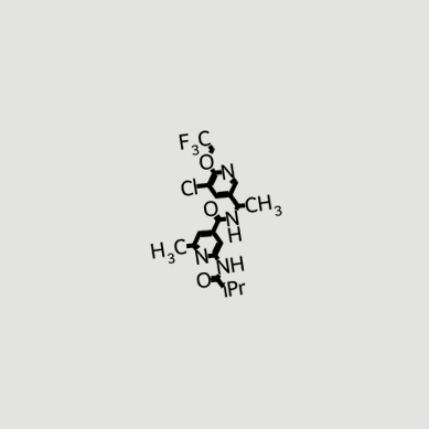 Cc1cc(C(=O)NC(C)c2cnc(OCC(F)(F)F)c(Cl)c2)cc(NC(=O)C(C)C)n1